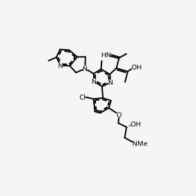 CNC[C@@H](O)COc1ccc(Cl)c(-c2nc(/C(C(C)=N)=C(\C)O)c(C)c(N3Cc4ccc(C)nc4C3)n2)c1